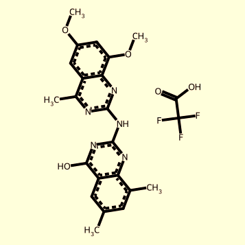 COc1cc(OC)c2nc(Nc3nc(O)c4cc(C)cc(C)c4n3)nc(C)c2c1.O=C(O)C(F)(F)F